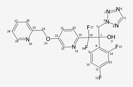 OC(Cn1ncnn1)(c1ccc(F)cc1F)C(F)(F)c1ccc(OCc2ccccn2)cn1